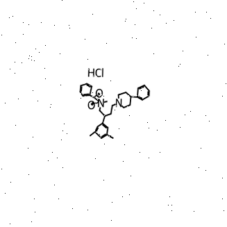 Cc1cc(C)cc(C(CCN2CCC(c3ccccc3)CC2)CN(C)S(=O)(=O)c2ccccc2)c1.Cl